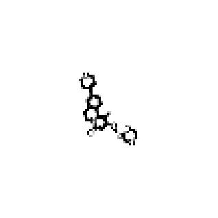 Cc1c(OC[C@@H]2COCCO2)cc(=O)n2c1-c1ccc(C3=CCOCC3)cc1CC2